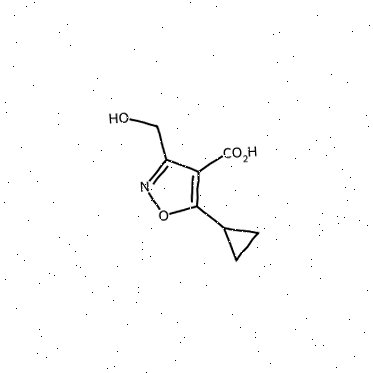 O=C(O)c1c(CO)noc1C1CC1